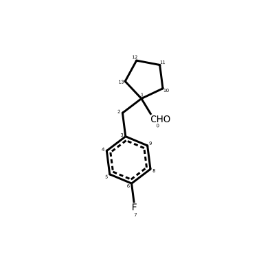 O=CC1(Cc2ccc(F)cc2)CCCC1